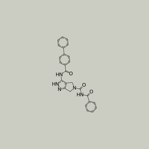 O=C(NC(=O)N1Cc2n[nH]c(NC(=O)c3ccc(-c4ccccc4)cc3)c2C1)c1ccccc1